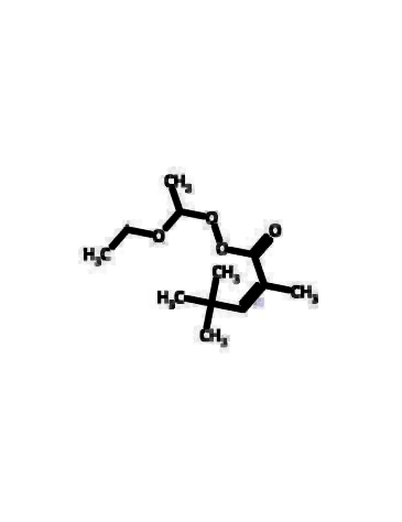 C[CH]OC(C)OOC(=O)/C(C)=C\C(C)(C)C